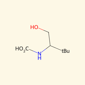 CC(C)(C)C(CO)NC(=O)O